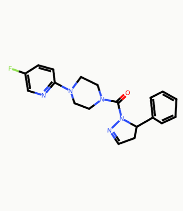 O=C(N1CCN(c2ccc(F)cn2)CC1)N1N=CCC1c1ccccc1